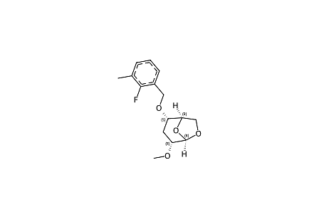 CO[C@@H]1C[C@H](OCc2cccc(C)c2F)[C@H]2CO[C@@H]1O2